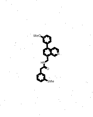 COc1cccc(-c2ccc(CNC(=O)Cc3cccc(SC)c3)c3cnccc23)c1